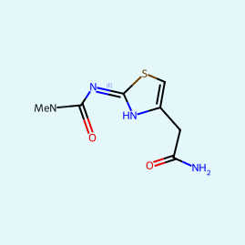 CNC(=O)/N=c1\[nH]c(CC(N)=O)cs1